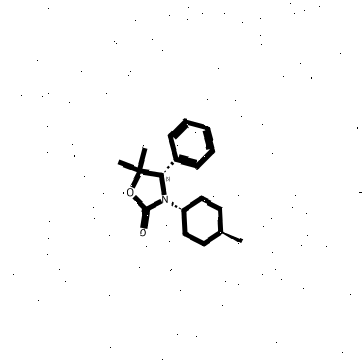 CC1(C)OC(=O)N([C@H]2CC[C@H](C)CC2)[C@H]1c1ccccc1